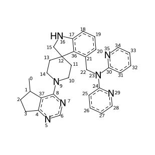 CC1CCc2ncnc(N3CCC4(CC3)CNc3cccc(CN(c5ccccn5)c5ccccn5)c34)c21